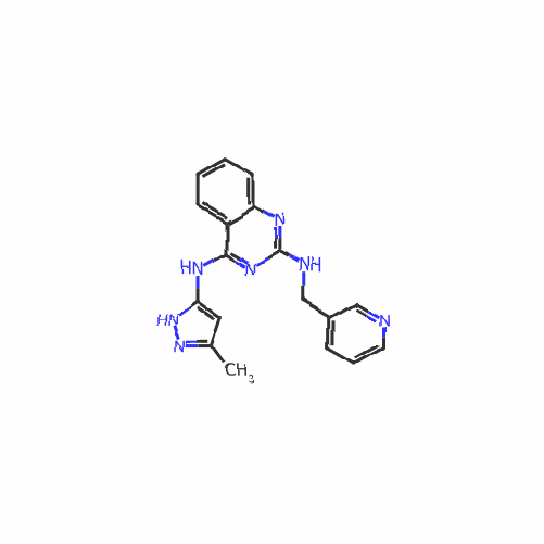 Cc1cc(Nc2nc(NCc3cccnc3)nc3ccccc23)[nH]n1